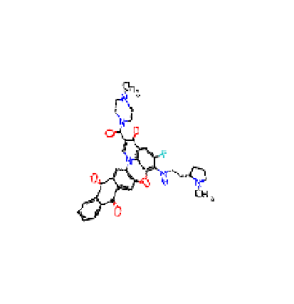 CN1CCN(C(=O)c2cn3c4cc5c(=O)c6ccccc6c(=O)c5cc4oc4c(NCCC5CCCN5C)c(F)cc(c2=O)c43)CC1